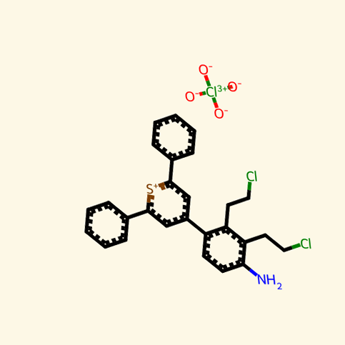 Nc1ccc(-c2cc(-c3ccccc3)[s+]c(-c3ccccc3)c2)c(CCCl)c1CCCl.[O-][Cl+3]([O-])([O-])[O-]